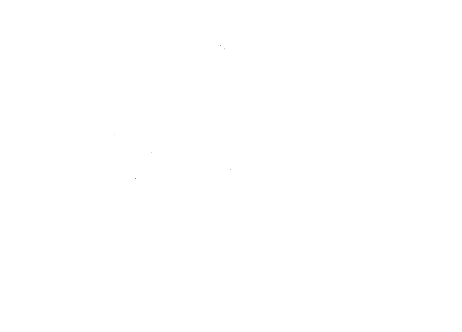 CC(C)(CCC(C)(c1ccc(C#N)cc1)C(C)(C)c1cccc(F)c1)c1ccc2c(ccc3ccccc32)c1